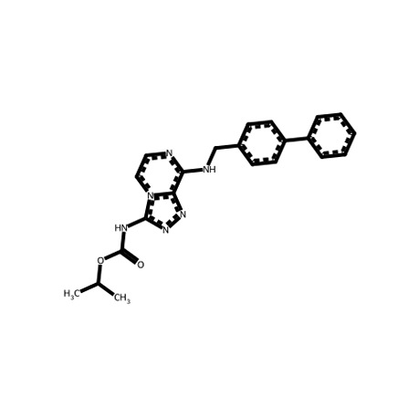 CC(C)OC(=O)Nc1nnc2c(NCc3ccc(-c4ccccc4)cc3)nccn12